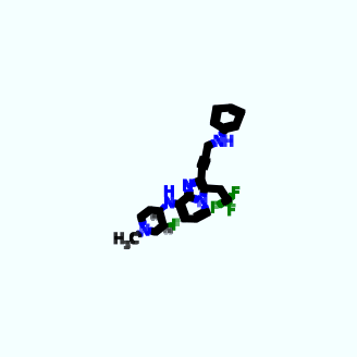 CN1CC[C@@H](Nc2cccn3c(CC(F)(F)F)c(C#CCNc4ccccc4)nc23)[C@@H](F)C1